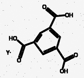 O=C(O)c1cc(C(=O)O)cc(C(=O)O)c1.[Y]